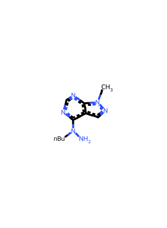 CCCCN(N)c1ncnc2c1cnn2C